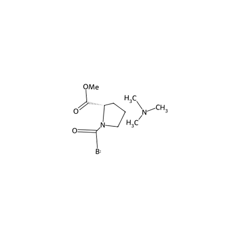 CN(C)C.[B]C(=O)N1CCC[C@H]1C(=O)OC